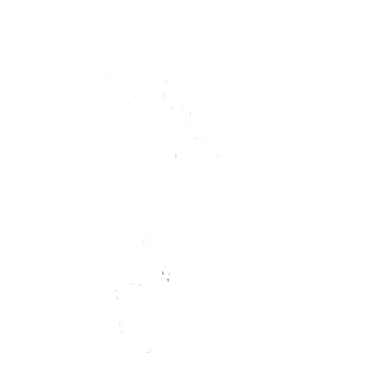 c1ccc(-c2c3ccccc3c(-c3ccccc3)c3cc(-c4ccc5nc6c(cc5c4)sc4ccccc46)ccc23)cc1